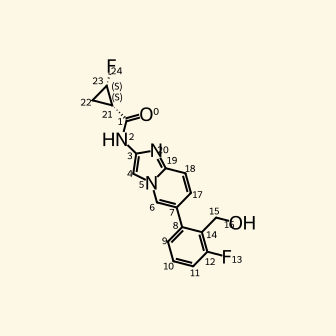 O=C(Nc1cn2cc(-c3cccc(F)c3CO)ccc2n1)[C@@H]1C[C@@H]1F